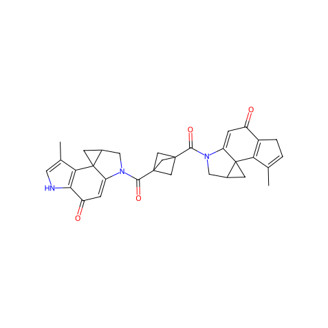 CC1=CCC2=C1C13CC1CN(C(=O)C14CC(C(=O)N5CC6CC67C5=CC(=O)c5[nH]cc(C)c57)(C1)C4)C3=CC2=O